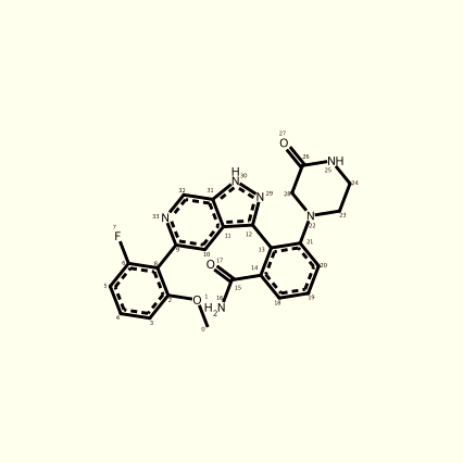 COc1cccc(F)c1-c1cc2c(-c3c(C(N)=O)cccc3N3CCNC(=O)C3)n[nH]c2cn1